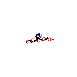 OCCOCCOCCOCCO.c1ccncc1